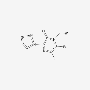 CCC(C)c1c(Cl)nc(-n2cccn2)c(=O)n1CC(C)C